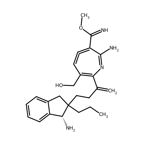 C=C(CCC1(CCC)Cc2ccccc2[C@H]1N)C1=C(CO)C=C=C(C(=N)OC)C(N)=N1